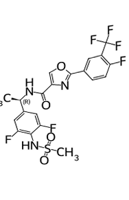 C[C@@H](NC(=O)c1coc(-c2ccc(F)c(C(F)(F)F)c2)n1)c1cc(F)c(NS(C)(=O)=O)c(F)c1